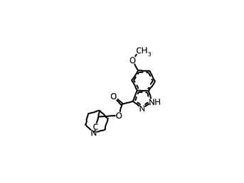 COc1ccc2[nH]nc(C(=O)OC3CN4CCC3CC4)c2c1